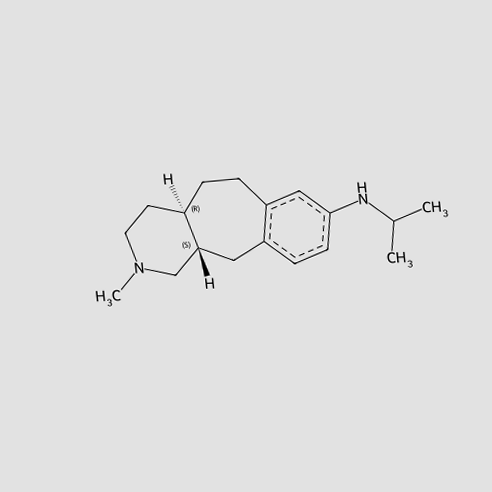 CC(C)Nc1ccc2c(c1)CC[C@@H]1CCN(C)C[C@H]1C2